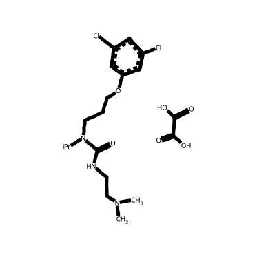 CC(C)N(CCCOc1cc(Cl)cc(Cl)c1)C(=O)NCCN(C)C.O=C(O)C(=O)O